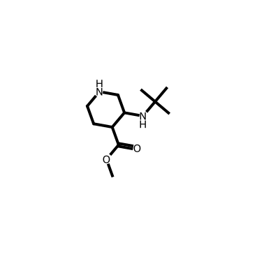 COC(=O)C1CCNCC1NC(C)(C)C